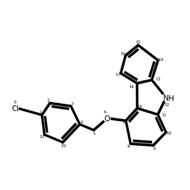 Clc1ccc(COc2cccc3[nH]c4ccccc4c23)cc1